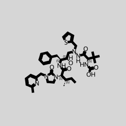 CC[C@H](C)[C@@H](C(=O)N[C@@H](Cc1ccccc1)[C@@H](O)CN(Cc1cccs1)NC(=O)[C@@H](NC(=O)O)C(C)(C)C)N1CCN(Cc2cccc(C)n2)C1=O